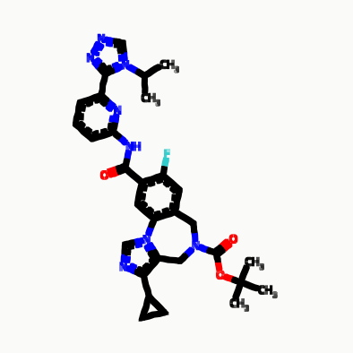 CC(C)n1cnnc1-c1cccc(NC(=O)c2cc3c(cc2F)CN(C(=O)OC(C)(C)C)Cc2c(C4CC4)ncn2-3)n1